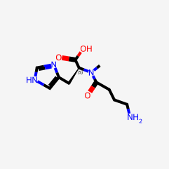 CN(C(=O)CCCN)[C@@H](Cc1c[nH]cn1)C(=O)O